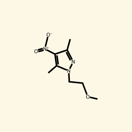 COCCn1nc(C)c([N+](=O)[O-])c1C